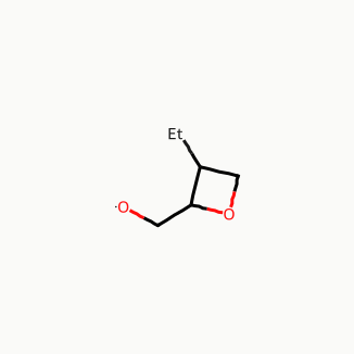 CCC1COC1C[O]